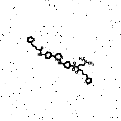 CN(C)CCN(C(=O)CCCc1cccs1)S(=O)(=O)c1ccc(Nc2nccc(-c3ccc(NC(=O)CCCc4cccs4)cc3)n2)cc1